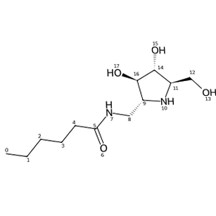 CCCCCC(=O)NC[C@H]1N[C@H](CO)[C@@H](O)[C@@H]1O